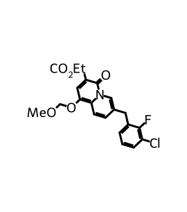 CCOC(=O)c1cc(OCOC)c2ccc(Cc3cccc(Cl)c3F)cn2c1=O